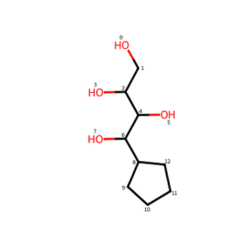 OCC(O)C(O)C(O)C1CCCC1